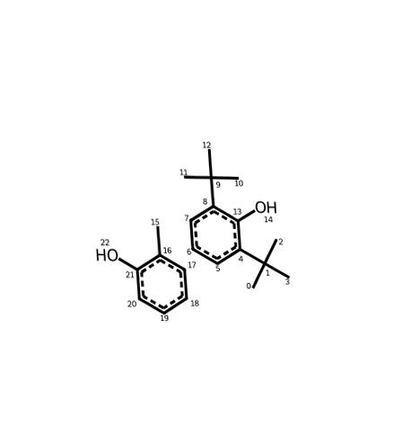 CC(C)(C)c1cccc(C(C)(C)C)c1O.Cc1ccccc1O